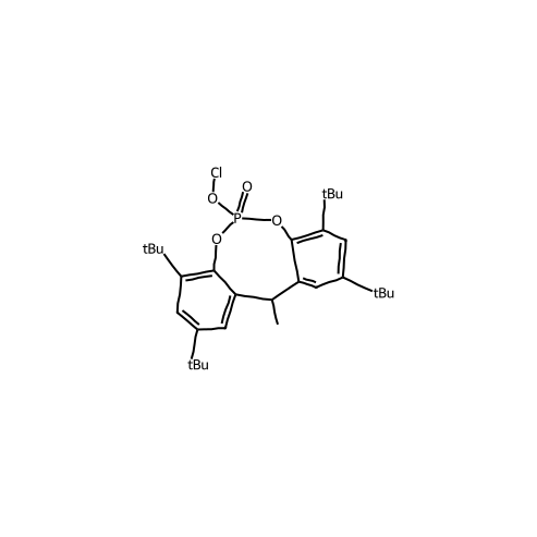 CC1c2cc(C(C)(C)C)cc(C(C)(C)C)c2OP(=O)(OCl)Oc2c1cc(C(C)(C)C)cc2C(C)(C)C